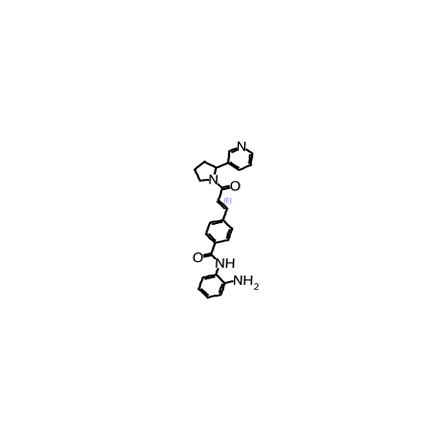 Nc1ccccc1NC(=O)c1ccc(/C=C/C(=O)N2CCCC2c2cccnc2)cc1